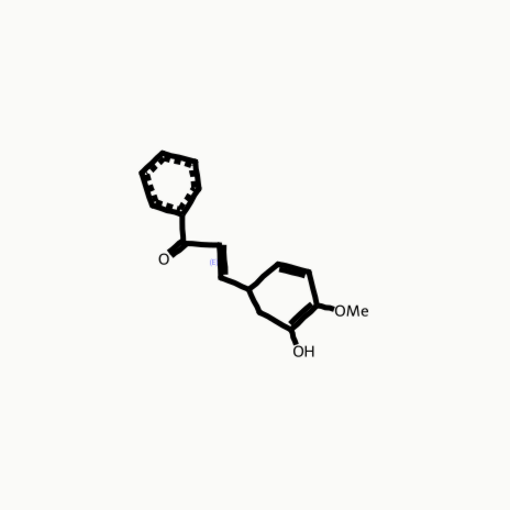 COC1=C(O)CC(/C=C/C(=O)c2ccccc2)C=C1